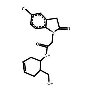 O=C(CN1C(=O)Cc2cc(Cl)ccc21)NC1CC=CCC1CO